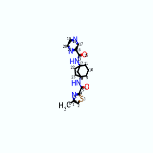 Cc1csc(C(=O)N[C@@]23CCCC(NC(=O)c4cnccn4)(CC2)C3)n1